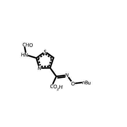 CCCCON=C(C(=O)O)c1csc(NC=O)n1